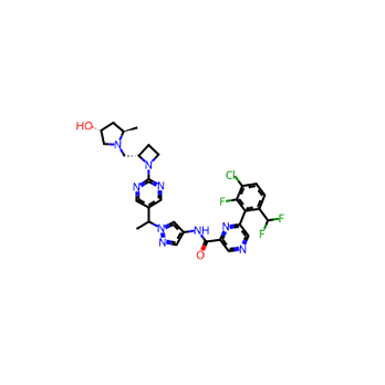 CC(c1cnc(N2CC[C@H]2CN2C[C@H](O)C[C@H]2C)nc1)n1cc(NC(=O)c2cncc(-c3c(C(F)F)ccc(Cl)c3F)n2)cn1